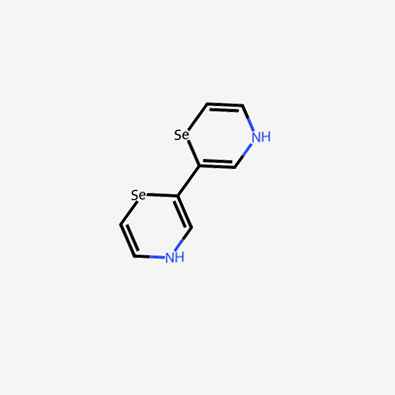 C1=C[Se]C(C2=CNC=C[Se]2)=CN1